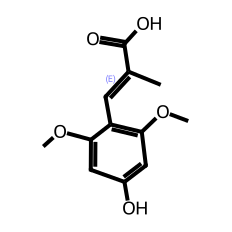 COc1cc(O)cc(OC)c1/C=C(\C)C(=O)O